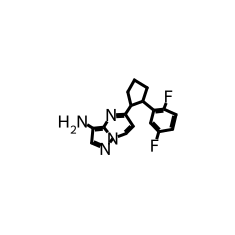 Nc1cnn2ccc(C3CCCC3c3cc(F)ccc3F)nc12